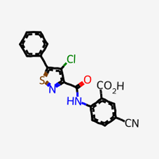 N#Cc1ccc(NC(=O)c2nsc(-c3ccccc3)c2Cl)c(C(=O)O)c1